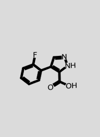 O=C(O)c1[nH]ncc1-c1ccccc1F